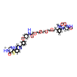 C[C@@H]1CNc2c(sc3ccc4nc(-c5cccc(OC6CCC(NC(=O)COCCOCCOCCOCCc7cccc8c7n(C)c(=O)n8C7CCC(=O)NC7=O)CC6)c5)ccc4c23)C(=O)N1